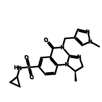 C[C@@H]1CN=C2N(Cc3cnn(C)c3)C(=O)c3cc(S(=O)(=O)NC4CC4)ccc3N21